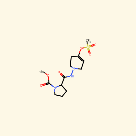 CC(C)(C)OC(=O)N1CCCC1C(=O)NN1CC=C(OS(=O)(=O)C(F)(F)F)CC1